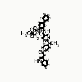 CN(c1ncc(C(=O)Nc2cc(-c3ccccc3)ccc2NC(=O)OC(C)(C)C)cn1)C1CCN(C(=O)CC2=CNC3C=CC=CC23)CC1